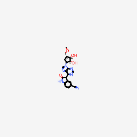 COC[C@H]1C[C@@H](n2cnc3c(C4C(=O)Nc5ccc(C#N)cc54)ncnc32)[C@H](O)[C@@H]1O